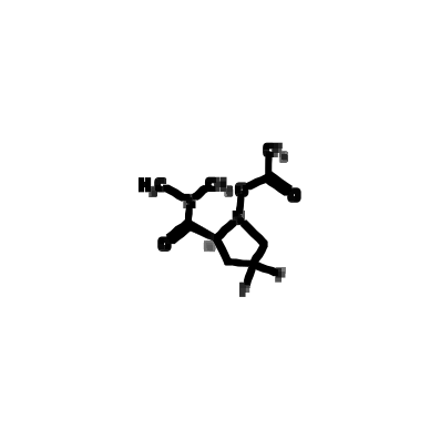 CN(C)C(=O)[C@@H]1CC(F)(F)CN1OC(=O)C(F)(F)F